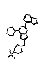 CS(=O)(=O)N1CCN(Cc2cc3c(N4CCOCC4)nc(-c4cccc5[nH]ncc45)nn3c2)CC1